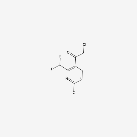 O=C(CCl)c1ccc(Cl)nc1C(F)F